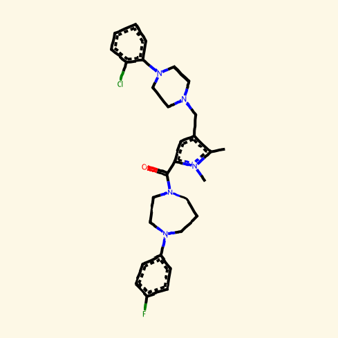 Cc1c(CN2CCN(c3ccccc3Cl)CC2)cc(C(=O)N2CCCN(c3ccc(F)cc3)CC2)n1C